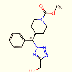 CC(C)(C)OC(=O)N1CCC([C@H](c2ccccc2)n2nnc(CO)n2)CC1